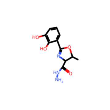 CC1OC(c2cccc(O)c2O)=NC1C(=O)NN